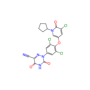 N#Cc1nn(-c2cc(Cl)c(Oc3cc(Cl)c(=O)n(C4CCCC4)c3)c(Cl)c2)c(=O)[nH]c1=O